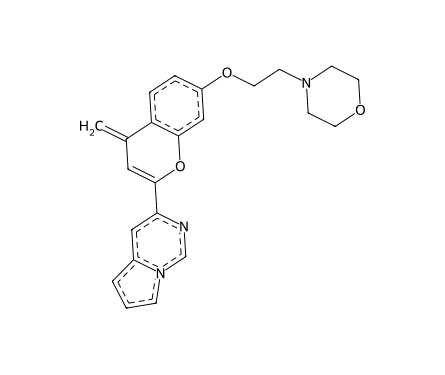 C=C1C=C(c2cc3cccn3cn2)Oc2cc(OCCN3CCOCC3)ccc21